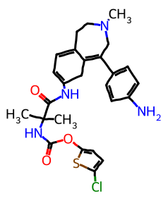 CN1CCC2=CC=C(NC(=O)C(C)(C)NC(=O)Oc3ccc(Cl)s3)CC2=C(c2ccc(N)cc2)C1